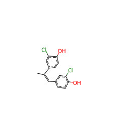 CC(=Cc1ccc(O)c(Cl)c1)c1ccc(O)c(Cl)c1